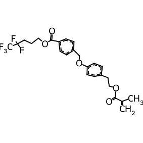 C=C(C)C(=O)OCCc1ccc(OCc2ccc(C(=O)OCCCC(F)(F)C(F)(F)F)cc2)cc1